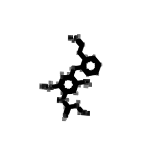 C=CCc1ccccc1Oc1nc(C(=O)O)c(NC(=O)OC(C)(C)C)cc1C(F)(F)F